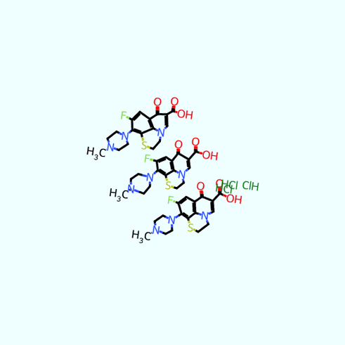 CN1CCN(c2c(F)cc3c(=O)c(C(=O)O)cn4c3c2SCC4)CC1.CN1CCN(c2c(F)cc3c(=O)c(C(=O)O)cn4c3c2SCC4)CC1.CN1CCN(c2c(F)cc3c(=O)c(C(=O)O)cn4c3c2SCC4)CC1.Cl.Cl.Cl